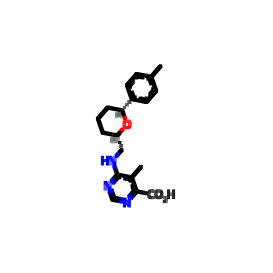 Cc1ccc([C@H]2CCC[C@@H](CNc3ncnc(C(=O)O)c3C)O2)cc1